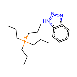 CCC[PH](CCC)(CCC)CCC.c1ccc2[nH]nnc2c1